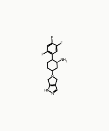 N[C@H]1C[C@@H](N2Cc3cn[nH]c3C2)CCC1c1cc(F)c(F)cc1F